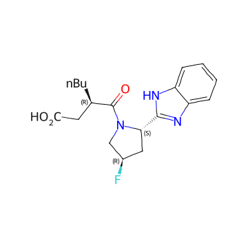 CCCC[C@H](CC(=O)O)C(=O)N1C[C@H](F)C[C@H]1c1nc2ccccc2[nH]1